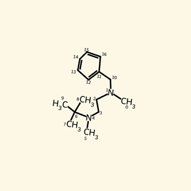 CN(CCN(C)C(C)(C)C)Cc1ccccc1